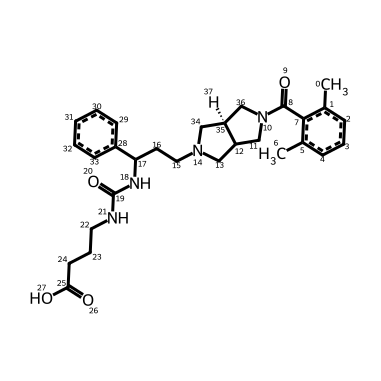 Cc1cccc(C)c1C(=O)N1CC2CN(CCC(NC(=O)NCCCC(=O)O)c3ccccc3)C[C@H]2C1